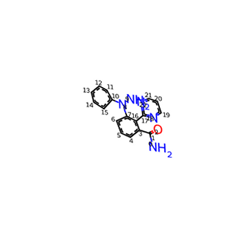 NC(=O)c1cccc(N(N)c2ccccc2)c1-c1ncccn1